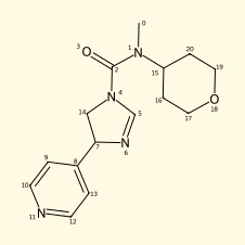 CN(C(=O)N1C=NC(c2ccncc2)C1)C1CCOCC1